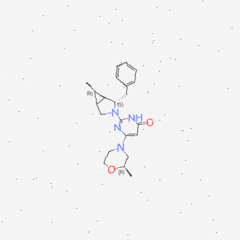 C[C@@H]1C2CN(c3nc(N4CCO[C@H](C)C4)cc(=O)[nH]3)[C@@H](Cc3ccccc3)C21